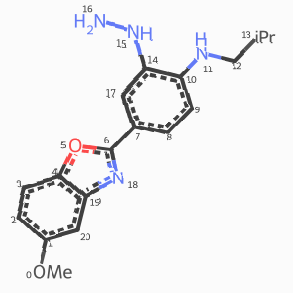 COc1ccc2oc(-c3ccc(NCC(C)C)c(NN)c3)nc2c1